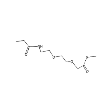 CCC(=O)NCCOCCOCC(=O)SC